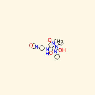 Cn1c2c(c(Nc3ccc(N4CCOCC4)cc3)cc1=O)C(=O)N(c1ccccc1)C(O)N2c1ccccc1